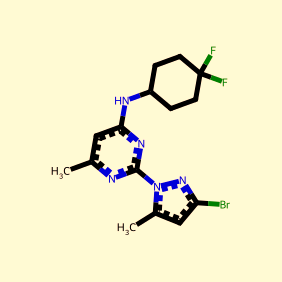 Cc1cc(NC2CCC(F)(F)CC2)nc(-n2nc(Br)cc2C)n1